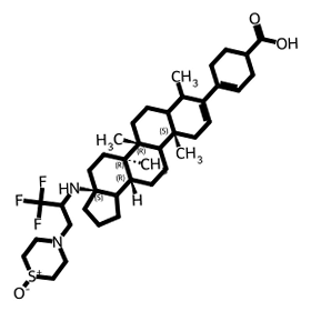 CC1C(C2=CCC(C(=O)O)CC2)=CC[C@@]2(C)C1CC[C@]1(C)C2CC[C@@H]2C3CCC[C@]3(NC(CN3CC[S+]([O-])CC3)C(F)(F)F)CC[C@]21C